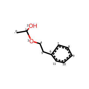 [CH2]C(O)OCCc1ccccc1